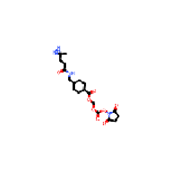 CC1(CCC(=O)NCC2CCC(C(=O)OCOC(=O)ON3C(=O)CCC3=O)CC2)N=N1